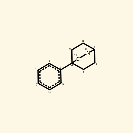 c1ccc(C23CCC(CC2)[N]C3)cc1